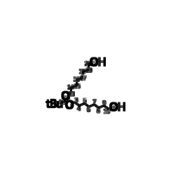 CC(C)(C)C(OCCCCCCCCO)OCCCCCCCCO